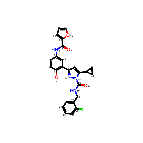 O=C(Nc1ccc(O)c(-c2cc(C3CC3)n(C(=O)NCc3ccccc3Cl)n2)c1)c1ccco1